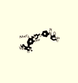 COc1cc(-c2cn(C)c(=O)c3[nH]ncc23)cc(OC)c1CN1CCC(COc2ccc(NC3CCC(=O)NC3=O)cc2)CC1